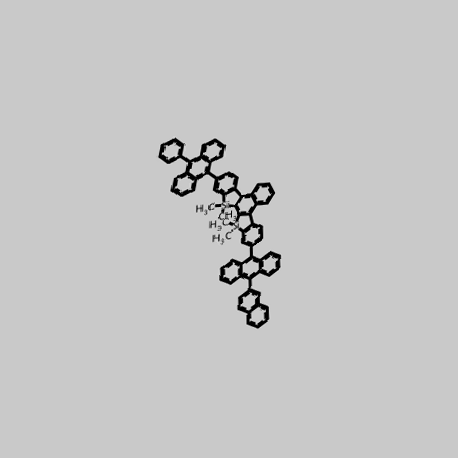 C[Si]1(C)c2cc(-c3c4ccccc4c(-c4ccccc4)c4ccccc34)ccc2-c2c1c1c(c3ccccc23)-c2ccc(-c3c4ccccc4c(-c4ccc5ccccc5c4)c4ccccc34)cc2[Si]1(C)C